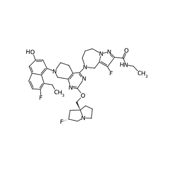 CCNC(=O)c1nn2c(c1F)CN(c1nc(OC[C@@]34CCCN3C[C@H](F)C4)nc3c1CCN(c1cc(O)cc4ccc(F)c(CC)c14)C3)CCC2